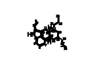 C=Cc1[nH]c2cccc3c2c1C[C@@H]1[C@@H]3C[C@@H](CSC)CN1CCC